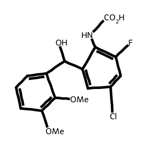 COc1cccc(C(O)c2cc(Cl)cc(F)c2NC(=O)O)c1OC